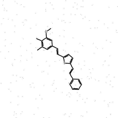 COc1cc(/C=C/c2ccc(C=Cc3ccccc3)s2)cc(C)c1C